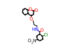 O=C(NCCCOc1cc(=O)oc2ccccc12)c1cc([N+](=O)[O-])ccc1Cl